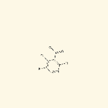 O=C(Cl)c1c(Cl)ncc(F)c1Cl